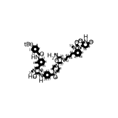 Cc1c(NC(=O)c2ccc(C(C)(C)C)cc2)cccc1C1=CN(C)C(O)C(Nc2ccc(C(=O)N3CCN(C(=O)CN(CCN)CCCCc4cccc5c4n(C)c(=O)n5C4CCC(=O)NC4=O)CC3)cc2)=N1